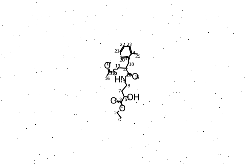 CCOC(=O)C(O)CCNC(=O)C(CSC(C)=O)Cc1ccccc1C